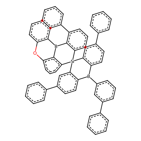 c1ccc(-c2cccc(B3c4ccc(-c5ccccc5)cc4[Si]4(c5cc(-c6ccccc6)ccc53)c3cccc5c3B(c3ccccc3O5)c3c(-c5ccccc5)cccc34)c2)cc1